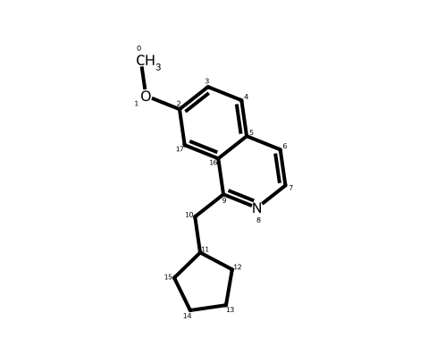 COc1ccc2ccnc(CC3CCCC3)c2c1